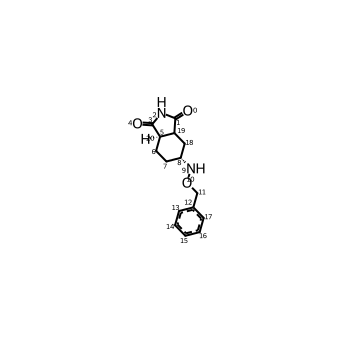 O=C1NC(=O)[C@@H]2CC[C@@H](NOCc3ccccc3)CC12